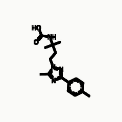 Cc1ccc(-c2nc(C)n(CCC(C)(C)NC(=O)O)n2)cc1